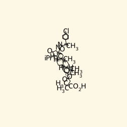 CC(C)C1=C2[C@H]3CC[C@@H]4[C@@]5(C)CC[C@H](OC(=O)CC(C)(C)C(=O)O)C(C)(C)[C@@H]5CC[C@@]4(C)[C@]3(C)CC[C@@]2(c2nnc([C@H](C)c3ccc(Cl)cc3)o2)CC1=O